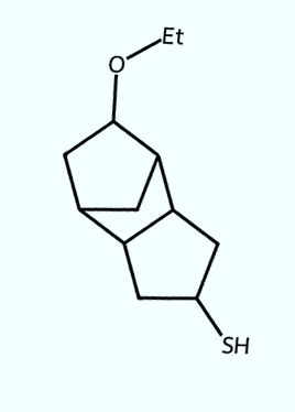 CCOC1CC2CC1C1CC(S)CC21